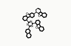 C1=Cc2c(oc3ccccc23)C(c2ccc3c(c2)oc2cccc(-c4nc(-c5ccc6ccccc6c5)nc(-c5cccc6c5oc5ccccc56)n4)c23)C1